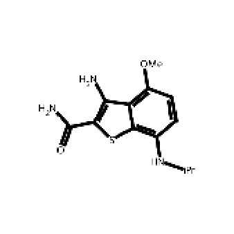 COc1ccc(NC(C)C)c2sc(C(N)=O)c(N)c12